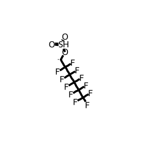 O=[SH](=O)O[CH]C(F)(F)C(F)(F)C(F)(F)C(F)(F)C(F)(F)F